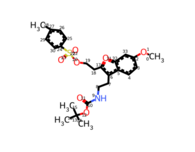 COc1ccc2c(CCNC(=O)OC(C)(C)C)c(CCOS(=O)(=O)c3ccc(C)cc3)oc2c1